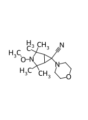 CON1C(C)(C)C2C(C1(C)C)C2(C#N)N1CCOCC1